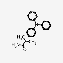 CC(C)C(N)=O.c1ccc(N(c2ccccc2)c2ccccc2)cc1